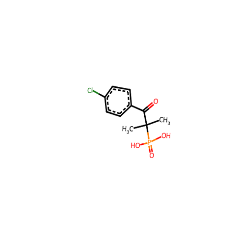 CC(C)(C(=O)c1ccc(Cl)cc1)P(=O)(O)O